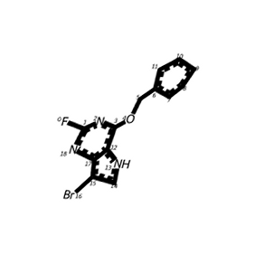 Fc1nc(OCc2ccccc2)c2[nH]cc(Br)c2n1